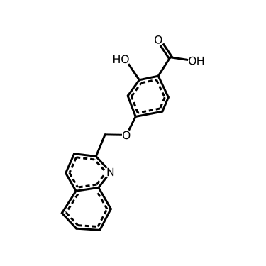 O=C(O)c1ccc(OCc2ccc3ccccc3n2)cc1O